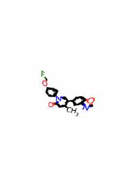 Cc1cc(=O)n(-c2ccc(OCF)cc2)cc1-c1ccc2ocnc2c1